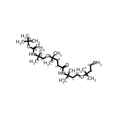 CC(C)(CCOC(C)(C)CCN)NC(=O)CCC(C)(C)OCC(C)(C)NC(=O)OC(C)(C)C